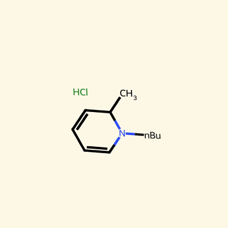 CCCCN1C=CC=CC1C.Cl